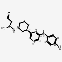 CN(CC=O)N[C@@H]1CCCN(c2cncc(Nc3ccc(Cl)cc3)n2)C1